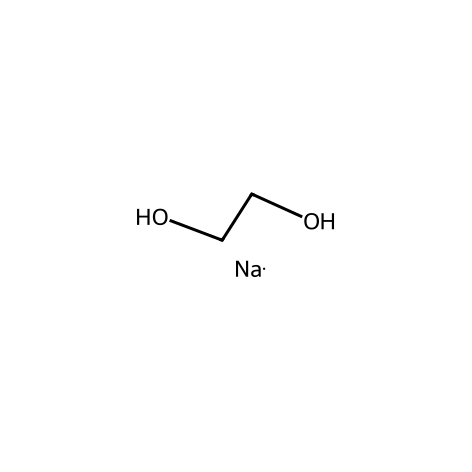 OCCO.[Na]